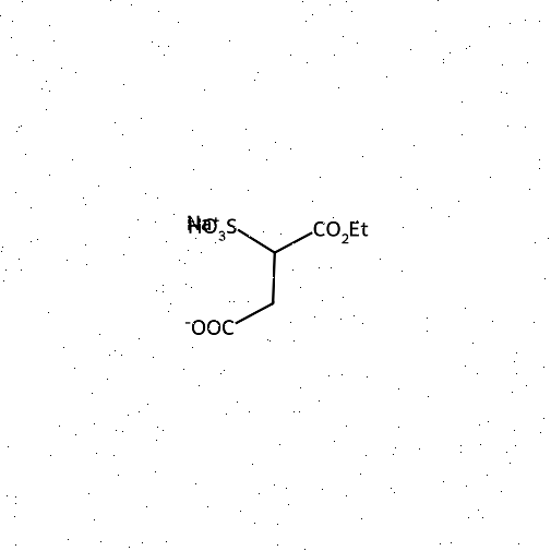 CCOC(=O)C(CC(=O)[O-])S(=O)(=O)O.[Na+]